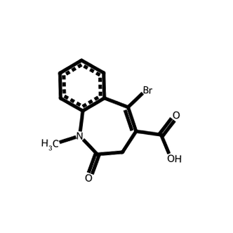 CN1C(=O)CC(C(=O)O)=C(Br)c2ccccc21